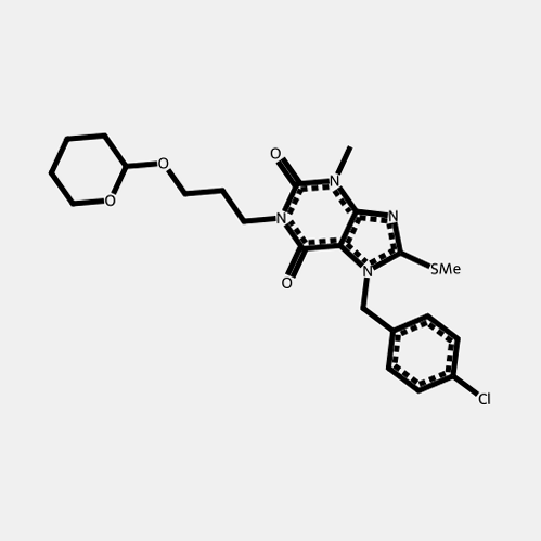 CSc1nc2c(c(=O)n(CCCOC3CCCCO3)c(=O)n2C)n1Cc1ccc(Cl)cc1